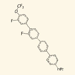 CCCc1ccc(-c2ccc(-c3ccc(-c4ccc(OC(F)(F)F)c(F)c4)c(F)c3)cc2)cc1